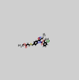 CCc1noc(-c2ccc(CSCCC(=O)OC)cc2)c1NC(=O)OC(C)c1ccccc1Cl